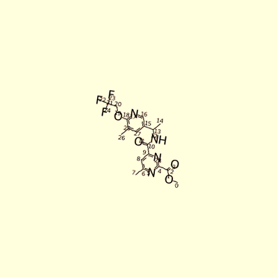 COC(=O)c1nc(C)cc(C(=O)NC(C)c2cnc(OCC(F)(F)F)c(C)c2)n1